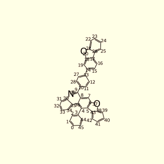 c1ccc(-c2c3c(cc4c(-c5ccc(-c6ccc7c(c6)oc6ccccc67)cc5)nc5ccccc5c24)oc2ccccc23)cc1